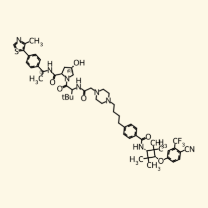 Cc1ncsc1-c1ccc([C@H](C)NC(=O)C2C[C@@H](O)CN2C(=O)C(NC(=O)CN2CCN(CCCCc3ccc(C(=O)N[C@H]4C(C)(C)[C@H](Oc5ccc(C#N)c(C(F)(F)F)c5)C4(C)C)cc3)CC2)C(C)(C)C)cc1